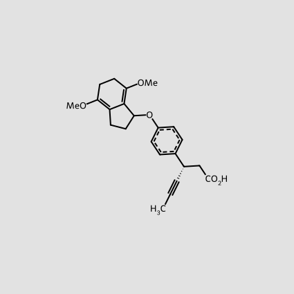 CC#C[C@@H](CC(=O)O)c1ccc(OC2CCC3=C(OC)CCC(OC)=C32)cc1